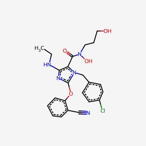 CCNc1nc(Oc2ccccc2C#N)n(Cc2ccc(Cl)cc2)c1C(=O)N(O)CCCO